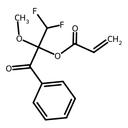 C=CC(=O)OC(OC)(C(=O)c1ccccc1)C(F)F